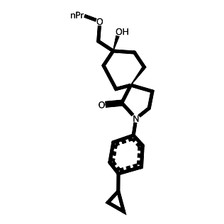 CCCOC[C@]1(O)CC[C@]2(CCN(c3ccc(C4CC4)cc3)C2=O)CC1